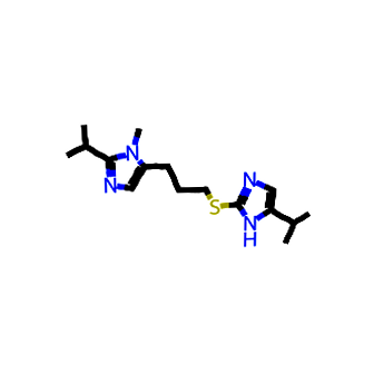 CC(C)c1cnc(SCCCc2cnc(C(C)C)n2C)[nH]1